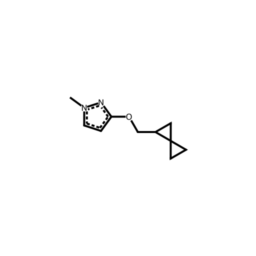 Cn1ccc(OCC2CC23CC3)n1